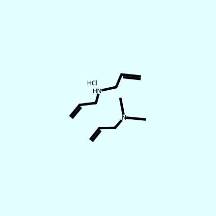 C=CCN(C)C.C=CCNCC=C.Cl